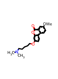 COc1ccc2c(c1)c(=O)oc1cc(OCCCCCN(C)C)ccc12